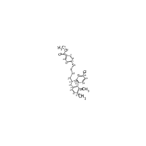 COC(=O)c1ccc(SCCCC(Cc2ccc(C)c(C)c2)c2cccc(Cl)c2)cc1